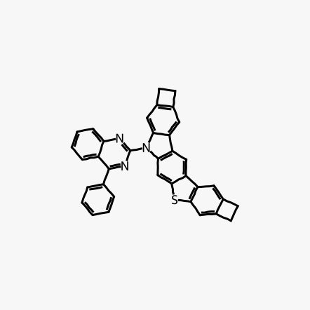 c1ccc(-c2nc(-n3c4cc5c(cc4c4cc6c(cc43)sc3cc4c(cc36)CC4)CC5)nc3ccccc23)cc1